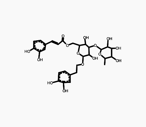 CC1OC(OC2C(O)C(COC(=O)/C=C/c3ccc(O)c(O)c3)OC(OCCc3ccc(O)c(O)c3)C2O)C(O)C(O)C1O